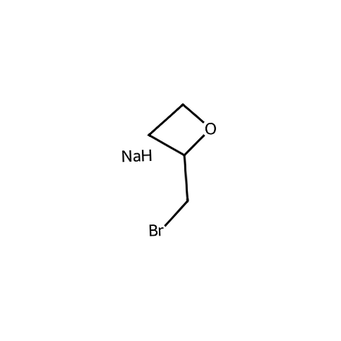 BrCC1CCO1.[NaH]